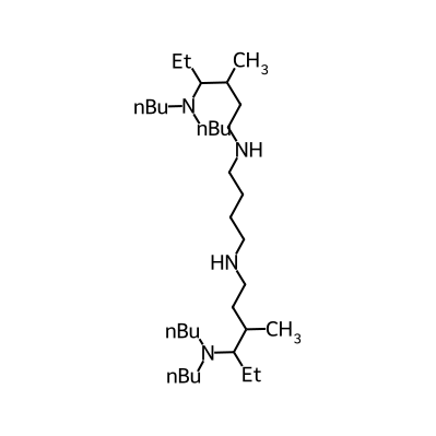 CCCCN(CCCC)C(CC)C(C)CCNCCCCNCCC(C)C(CC)N(CCCC)CCCC